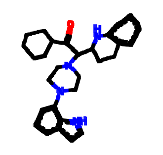 O=C(C1CCCCC1)C(C1CCc2ccccc2N1)N1CCN(c2cccc3cc[nH]c23)CC1